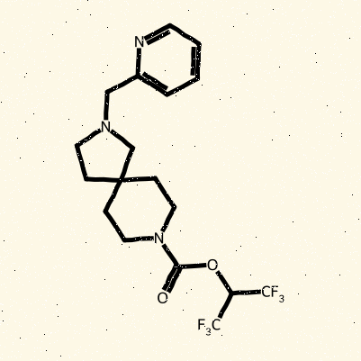 O=C(OC(C(F)(F)F)C(F)(F)F)N1CCC2(CCN(Cc3ccccn3)C2)CC1